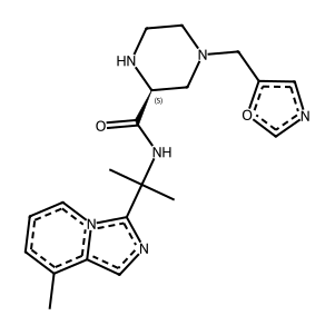 Cc1cccn2c(C(C)(C)NC(=O)[C@@H]3CN(Cc4cnco4)CCN3)ncc12